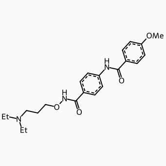 CCN(CC)CCCONC(=O)c1ccc(NC(=O)c2ccc(OC)cc2)cc1